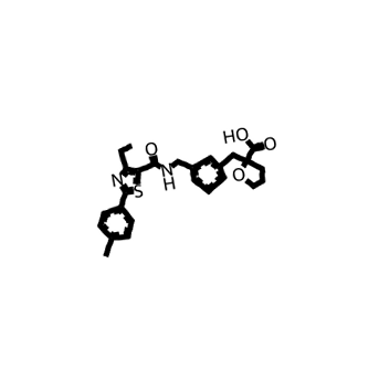 CCc1nc(-c2ccc(C)cc2)sc1C(=O)NCc1cccc(CC2(C(=O)O)CCCO2)c1